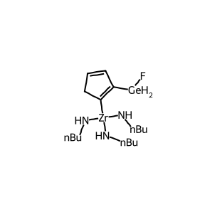 CCCC[NH][Zr]([NH]CCCC)([NH]CCCC)[C]1=[C]([GeH2][F])C=CC1